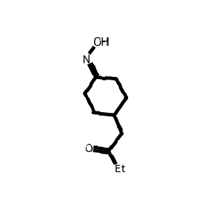 CCC(=O)CC1CCC(=NO)CC1